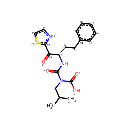 CC(C)CN(C(=O)O)C(=O)N[C@@H](CCc1ccccc1)C(=O)c1nccs1